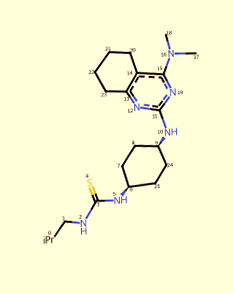 CC(C)CNC(=S)N[C@H]1CC[C@@H](Nc2nc3c(c(N(C)C)n2)CCCC3)CC1